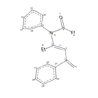 C=C(/C=C(\CC)N(C(=O)CC)c1ccccc1)c1ccccc1